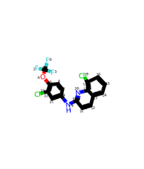 FC(F)(F)Oc1ccc(Nc2ccc3cccc(Cl)c3n2)cc1Cl